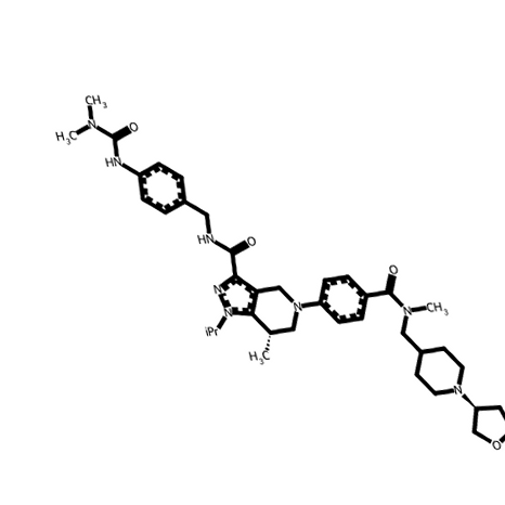 CC(C)n1nc(C(=O)NCc2ccc(NC(=O)N(C)C)cc2)c2c1[C@@H](C)CN(c1ccc(C(=O)N(C)CC3CCN([C@H]4CCOC4)CC3)cc1)C2